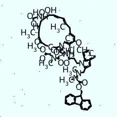 COc1cc2cc(c1Cl)N(C)C(=O)C[C@H](OC(=O)[C@H](C)N(C)C(=O)SNC(=O)CCn1c(CN(C)N(C)C(=O)OCC3c4ccccc4-c4ccccc43)cc3ccccc31)[C@]1(C)OC1[C@H](C)[C@@H]1C[C@@](O)(NC(=O)O1)[C@H](O)/C=C/C=C(\C)C2